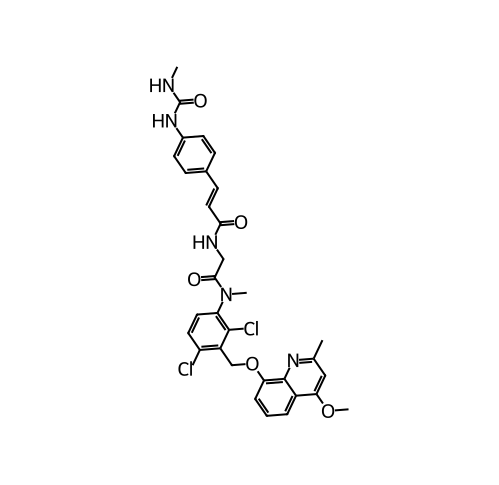 CNC(=O)Nc1ccc(C=CC(=O)NCC(=O)N(C)c2ccc(Cl)c(COc3cccc4c(OC)cc(C)nc34)c2Cl)cc1